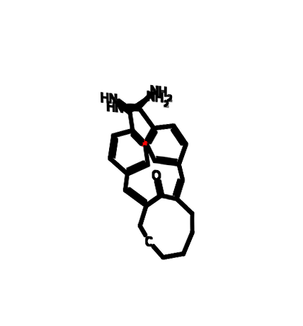 N=C(N)c1ccc(/C=C2/CCCCCC/C(=C/c3ccc(C(=N)N)cc3)C2=O)cc1